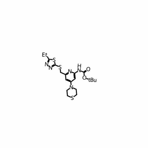 CCc1nnc(SCc2cc(N3CCSCC3)cc(NC(=O)OC(C)(C)C)n2)s1